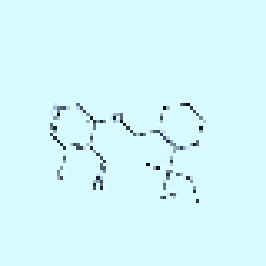 CCC(C)(O)C1=C(COc2cncc(Cl)c2C=O)CCCC1